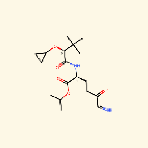 CC(C)OC(=O)[C@H](CCC(=O)C=N)NC(=O)[C@@H](OC1CC1)C(C)(C)C